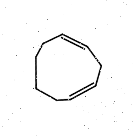 [CH]1CC=CCC=CCC1